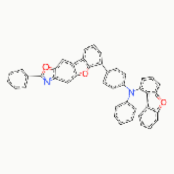 c1ccc(-c2nc3cc4oc5c(-c6ccc(N(c7ccccc7)c7cccc8oc9ccccc9c78)cc6)cccc5c4cc3o2)cc1